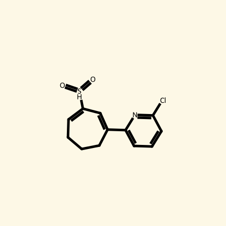 O=[SH](=O)C1=CCCCC(c2cccc(Cl)n2)=C1